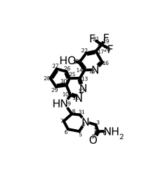 NC(=O)CN1CCCC(Nc2nnc(-c3ncc(C(F)(F)F)cc3O)c3ccccc23)C1